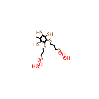 Cc1c(S)c(S)c(SCCCSOOO)c(SCCCSOOO)c1S